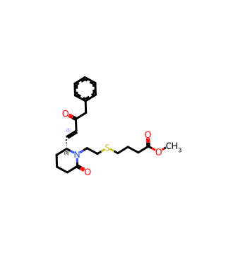 COC(=O)CCCSCCN1C(=O)CCC[C@@H]1/C=C/C(=O)Cc1ccccc1